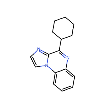 c1ccc2c(c1)nc(C1CCCCC1)c1nccn12